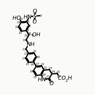 CS(=O)(=O)Nc1cc([C@H](O)CNCc2ccc(-c3ccc4c(c3)CC(CC(=O)O)C(=O)N4)cc2)ccc1O